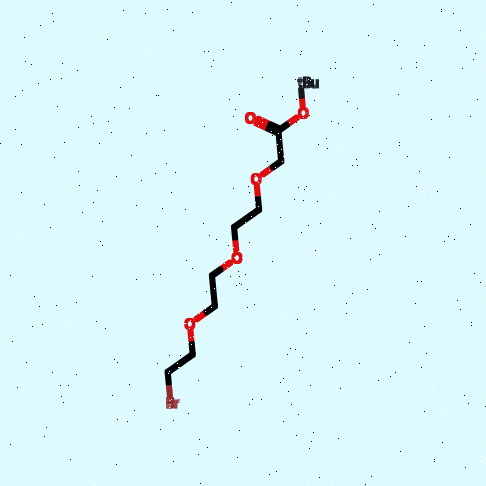 CC(C)(C)OC(=O)COCCOCCOCCBr